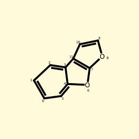 c1ccc2c(c1)oc1occc12